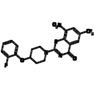 O=c1nc(N2CCC(Oc3ccccc3F)CC2)sc2c([N+](=O)[O-])cc(C(F)(F)F)cc12